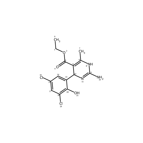 CCOC(=O)C1=C(C)NC(N)=NC1c1cc(Cl)cc(Cl)c1O